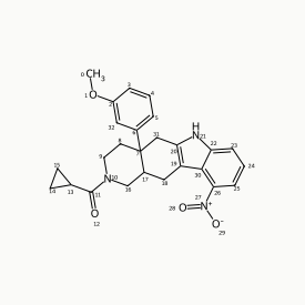 COc1cccc(C23CCN(C(=O)C4CC4)CC2Cc2c([nH]c4cccc([N+](=O)[O-])c24)C3)c1